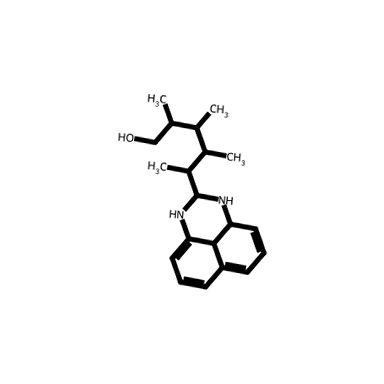 CC(CO)C(C)C(C)C(C)C1NC2=CC=CC3=CC=CC(N1)C32